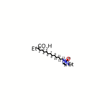 CCC(CCCCCCCCCCCCn1ccn(CC)c1=O)C(=O)O